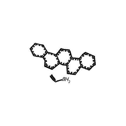 BC=C.c1ccc2c(c1)ccc1c2ccc2c3ccccc3ccc21